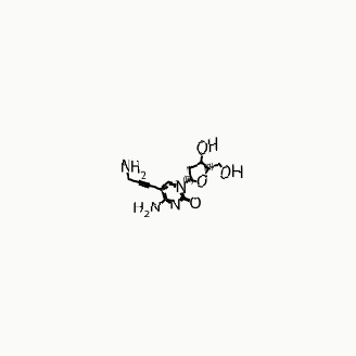 NCC#Cc1cn([C@H]2CC(O)[C@@H](CO)O2)c(=O)nc1N